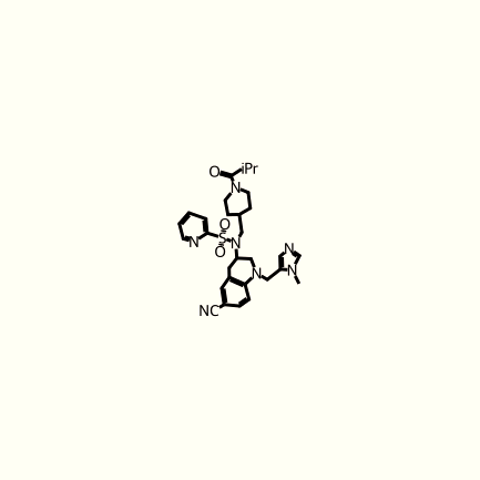 CC(C)C(=O)N1CCC(CN(C2Cc3cc(C#N)ccc3N(Cc3cncn3C)C2)S(=O)(=O)c2ccccn2)CC1